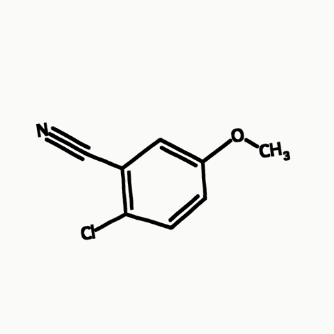 COc1ccc(Cl)c(C#N)c1